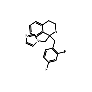 Fc1ccc(CC2(Cn3ccnc3)SCCc3ccccc32)c(F)c1